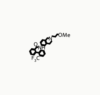 COCCCN1CCc2cc(NC(=O)c3ccccc3-c3ccccc3C(F)(F)F)ccc2C1